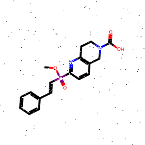 COP(=O)(C=Cc1ccccc1)c1ccc2c(n1)CCN(C(=O)O)C2